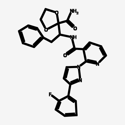 NC(=O)C1(C(Cc2ccccc2)NC(=O)c2cccnc2-n2ccc(-c3ccccc3F)n2)OCCO1